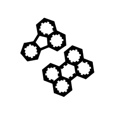 c1cc2cccc3c4cccc5cccc(c(c1)c23)c54.c1ccc2c(c1)-c1cccc3cccc-2c13